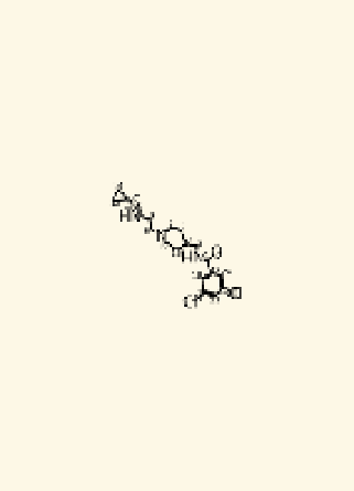 O=C(NCC1CCN(CCNSC2CC2)CC1)c1cc(Cl)cc(Cl)c1